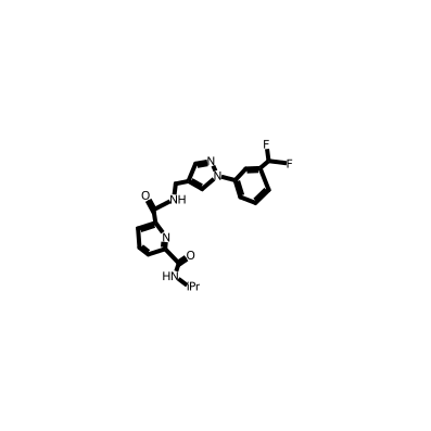 CC(C)NC(=O)c1cccc(C(=O)NCc2cnn(-c3cccc(C(F)F)c3)c2)n1